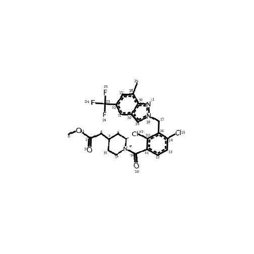 COC(=O)CC1CCN(C(=O)c2ccc(Cl)c(Cn3cc4cc(C(F)(F)F)cc(C)c4n3)c2Cl)CC1